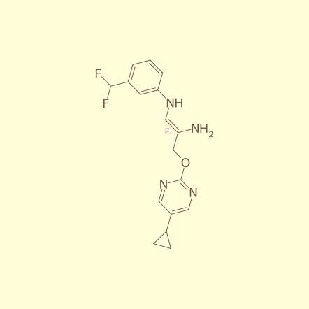 N/C(=C\Nc1cccc(C(F)F)c1)COc1ncc(C2CC2)cn1